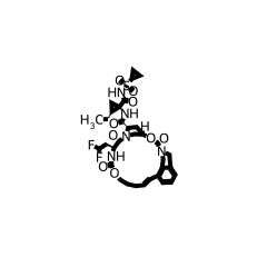 CC[C@@H]1C[C@]1(NC(=O)[C@@H]1C[C@@H]2CN1C(=O)[C@H](CC(F)F)NC(=O)OCCC/C=C/c1cccc3c1CN(C3)C(=O)O2)C(=O)NS(=O)(=O)C1CC1